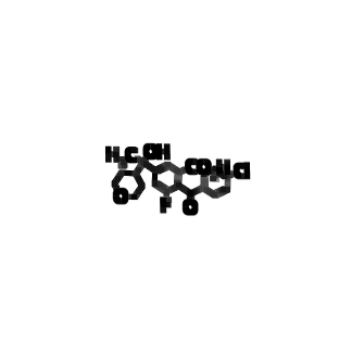 CC(O)(c1cc(F)c(C(=O)c2ccc(Cl)cc2)c(C(=O)O)c1)C1CCOCC1